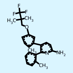 Cc1cccc(C)c1-c1nc(N)ccc1-c1cccc(OCC(C)(C)C(F)(F)F)c1